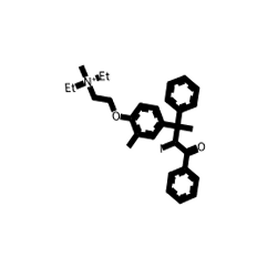 CC[N+](C)(CC)CCOc1ccc(C(C)(c2ccccc2)C(I)C(=O)c2ccccc2)cc1C